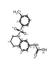 Cc1cccc(S(=O)(=O)N2CCCc3ncc(NC(=O)O)cc32)c1